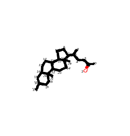 CC(=O)CCC(C)C1CCC2C3CCC4CC(C)CCC4(C)C3CCC12C